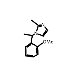 COc1ccccc1C(C)n1ccnc1C